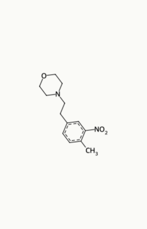 Cc1ccc(CCN2CCOCC2)cc1[N+](=O)[O-]